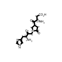 N[C@@H](Cc1c[nH]cn1)C(=O)CN1CC(C(=O)[C@@H](N)CC(=O)O)CC1=O